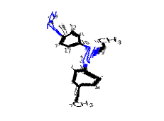 CCN(c1ccc(C)cc1)c1ccc(N=[N])cc1